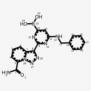 NC(=O)c1cccc2c(-c3nc(NCc4ccccc4)cc(B(O)O)n3)nnn12